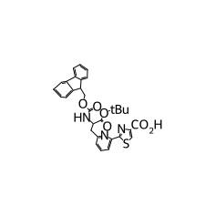 CC(C)(C)OC(=O)C(Cc1cccc(-c2nc(C(=O)O)cs2)n1)NC(=O)OCC1c2ccccc2-c2ccccc21